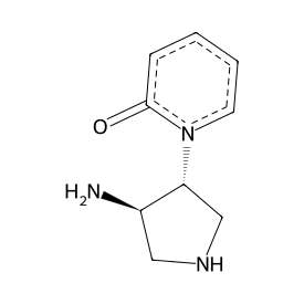 N[C@@H]1CNC[C@H]1n1ccccc1=O